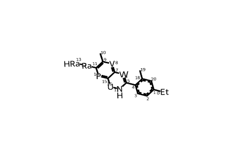 CCc1ccc([C]2=[W][C]3=[V][C](C)=[C]([Ra][RaH])P=[C]3[U][NH]2)c(C)c1